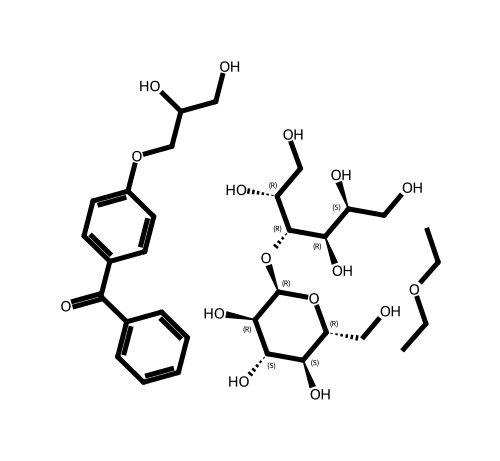 CCOCC.O=C(c1ccccc1)c1ccc(OCC(O)CO)cc1.OC[C@@H](O)[C@@H](O[C@H]1O[C@H](CO)[C@@H](O)[C@H](O)[C@H]1O)[C@H](O)[C@@H](O)CO